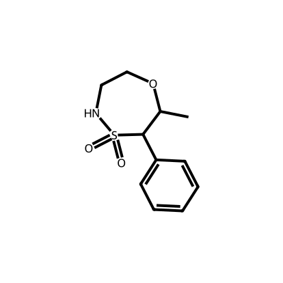 CC1OCCNS(=O)(=O)C1c1ccccc1